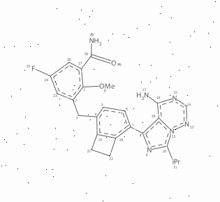 COc1c(Cc2ccc(-c3nc(C(C)C)n4ncnc(N)c34)c3c2CC3)cc(F)cc1C(N)=O